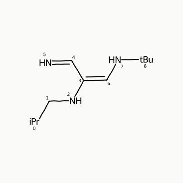 CC(C)CN/C(C=N)=C/NC(C)(C)C